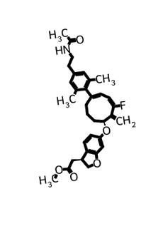 C=C1/C(F)=C\C=C(\c2c(C)cc(CCNC(C)=O)cc2C)CCC[C@H]1Oc1ccc2c(c1)OC[C@H]2CC(=O)OC